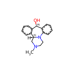 CN1CCN2c3ccccc3[C@H](O)c3ccccc3[C@H]2C1